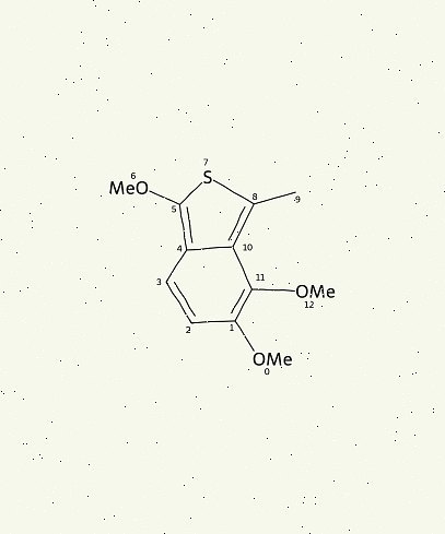 COc1ccc2c(OC)sc(C)c2c1OC